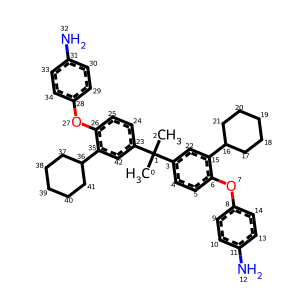 CC(C)(c1ccc(Oc2ccc(N)cc2)c(C2CCCCC2)c1)c1ccc(Oc2ccc(N)cc2)c(C2CCCCC2)c1